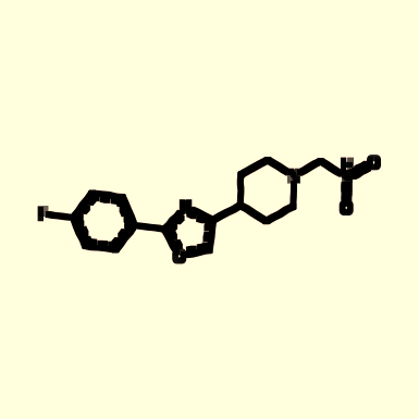 O=[SH](=O)CN1CCC(c2coc(-c3ccc(F)cc3)n2)CC1